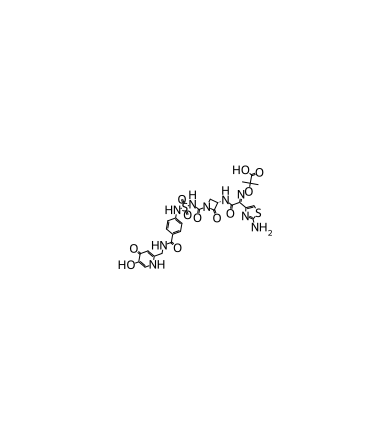 CC(C)(ON=C(C(=O)N[C@H]1CN(C(=O)NS(=O)(=O)Nc2ccc(C(=O)NCc3cc(=O)c(O)c[nH]3)cc2)C1=O)c1csc(N)n1)C(=O)O